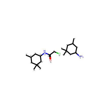 CC1CC(N)CC(C)(C)C1.CC1CC(NC(=O)CCl)CC(C)(C)C1